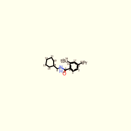 CC(C)c1ccc(C(=O)NCC2CCCCC2)c(C(C)(C)C)c1